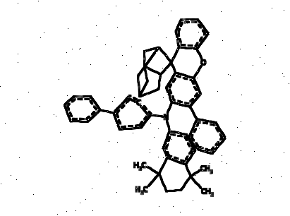 CC1(C)CCC(C)(C)c2cc(N(c3ccc(-c4ccccc4)cc3)c3cc4c(cc3-c3ccccc3)Oc3ccccc3C43C4CC5CC(C4)C3C5)ccc21